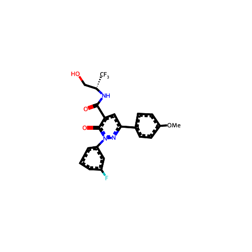 COc1ccc(-c2cc(C(=O)N[C@H](CO)C(F)(F)F)c(=O)n(-c3cccc(F)c3)n2)cc1